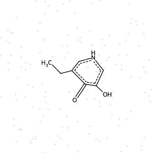 CCc1c[nH]cc(O)c1=O